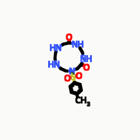 Cc1ccc(S(=O)(=O)N2CCNCCNCC(=O)NCCNC(=O)C2)cc1